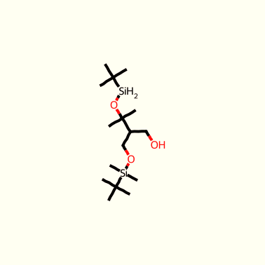 CC(C)(C)[SiH2]OC(C)(C)C(CO)CO[Si](C)(C)C(C)(C)C